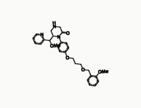 COc1ccccc1COCCCOc1ccc(N2C(=O)CNCC2C(OC)c2ccccn2)cc1